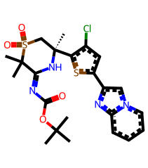 CC(C)(C)OC(=O)/N=C1\N[C@](C)(c2sc(-c3cn4ccccc4n3)cc2Cl)CS(=O)(=O)C1(C)C